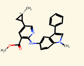 COC(=O)c1cc(C2C[C@@H]2C)cnc1Nc1ccc2c(c1)c(-c1ccccc1)cn2C